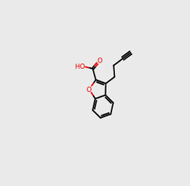 C#CCCc1c(C(=O)O)oc2ccccc12